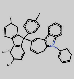 Cc1ccc(C2(C3=Cc4c(n(C5=CC=CCC5)c5ccccc45)CC=C3)C3=C(C4=C2CC(C)C=C4)[C@@H](C)C(C#N)C=C3)cc1